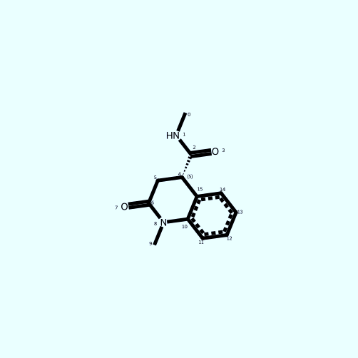 CNC(=O)[C@H]1CC(=O)N(C)c2ccccc21